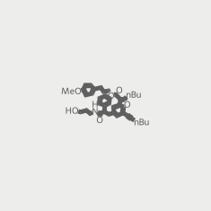 CCCCC#Cc1cc(CC(C(=O)NCCCO)c2ccccc2)cc2c(C(=O)OCCCc3ccc(OC)cc3)c(CCCC)oc12